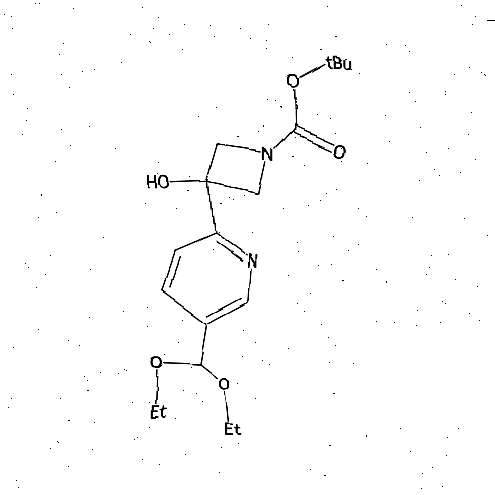 CCOC(OCC)c1ccc(C2(O)CN(C(=O)OC(C)(C)C)C2)nc1